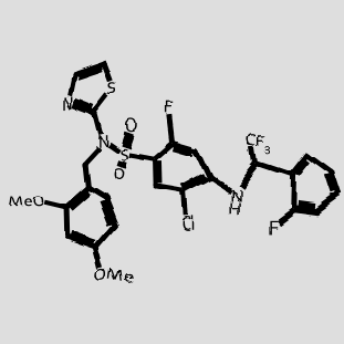 COc1ccc(CN(c2nccs2)S(=O)(=O)c2cc(Cl)c(NC(c3ccccc3F)C(F)(F)F)cc2F)c(OC)c1